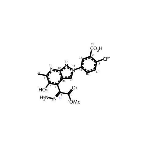 COC(=O)/C(=N/N)c1c(O)c(C)nc2nn(-c3ccc(Cl)c(C(=O)O)c3)cc12